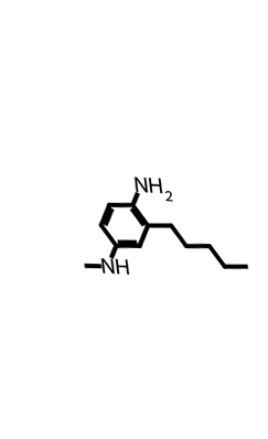 CCCCCc1cc(NC)ccc1N